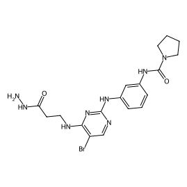 NNC(=O)CCNc1nc(Nc2cccc(NC(=O)N3CCCC3)c2)ncc1Br